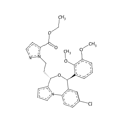 CCOC(=O)c1ccnn1CC[C@@H]1O[C@@H](c2cccc(OC)c2OC)c2cc(Cl)ccc2-n2cccc21